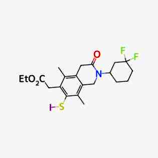 CCOC(=O)Cc1c(C)c2c(c(C)c1SI)CN(C1CCCC(F)(F)C1)C(=O)C2